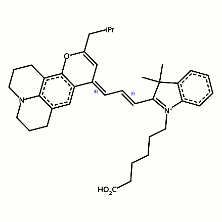 CC(C)CC1=C/C(=C\C=C\C2=[N+](CCCCCC(=O)O)c3ccccc3C2(C)C)c2cc3c4c(c2O1)CCCN4CCC3